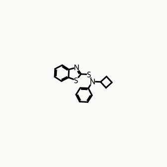 c1ccc(N(Sc2nc3ccccc3s2)C2CCC2)cc1